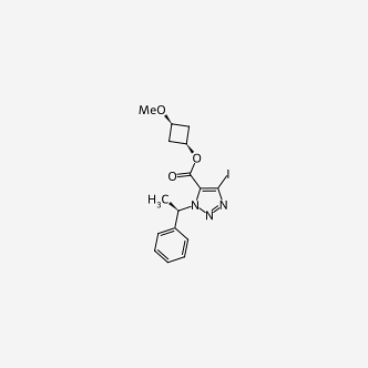 CO[C@H]1C[C@@H](OC(=O)c2c(I)nnn2[C@H](C)c2ccccc2)C1